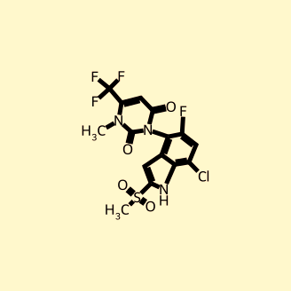 Cn1c(C(F)(F)F)cc(=O)n(-c2c(F)cc(Cl)c3[nH]c(S(C)(=O)=O)cc23)c1=O